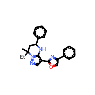 CCC1(C)CC(c2ccccc2)Nc2c(-c3nc(-c4ccccc4)co3)cnn21